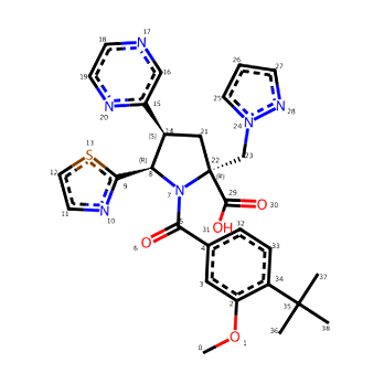 COc1cc(C(=O)N2[C@@H](c3nccs3)[C@@H](c3cnccn3)C[C@@]2(Cn2cccn2)C(=O)O)ccc1C(C)(C)C